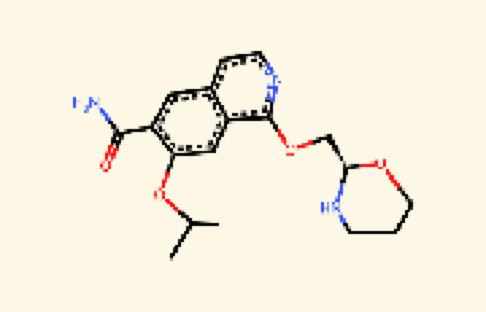 CC(C)Oc1cc2c(OC[C@@H]3NCCCO3)nccc2cc1C(N)=O